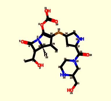 CC(O)C1C(=O)N2C(OC(=O)O)=C(SC3CNC(C(=O)N4CCNC(CO)C4)C3)C(C)[C@@H]12